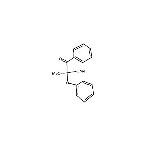 COC(OC)(Oc1ccccc1)C(=O)c1ccccc1